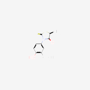 C=C1SC(=S)N(c2ccc(O)c(C(=O)O)c2)C1=O